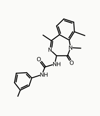 CC1=NC(NC(=O)Nc2cccc(C)c2)C(=O)N(C)c2c(C)cccc21